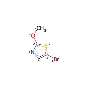 COc1ncc(Br)s1